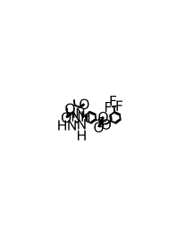 CCC(=O)Nc1ccc(S(=O)(=O)Oc2cccc(C(F)(F)F)c2)cc1NC(=N)NC(=O)OC